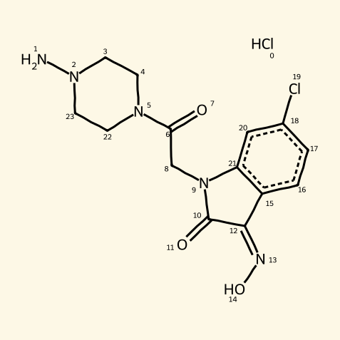 Cl.NN1CCN(C(=O)CN2C(=O)/C(=N\O)c3ccc(Cl)cc32)CC1